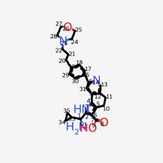 NC(c1[nH]c2c(c1C(=O)O)CCc1cnc(-c3ccc(CCCN4CCOCC4)cc3)cc1-2)C1CC1